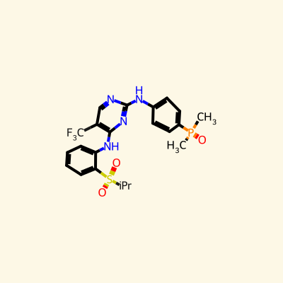 CC(C)S(=O)(=O)c1ccccc1Nc1nc(Nc2ccc(P(C)(C)=O)cc2)ncc1C(F)(F)F